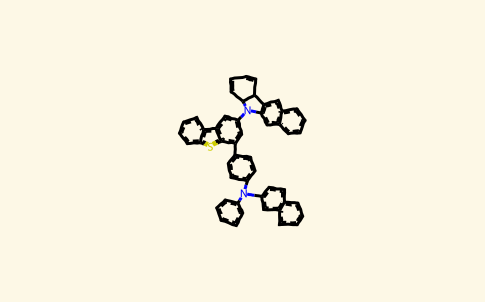 C1=CC2c3cc4ccccc4cc3N(c3cc(-c4ccc(N(c5ccccc5)c5ccc6ccccc6c5)cc4)c4sc5ccccc5c4c3)C2C=C1